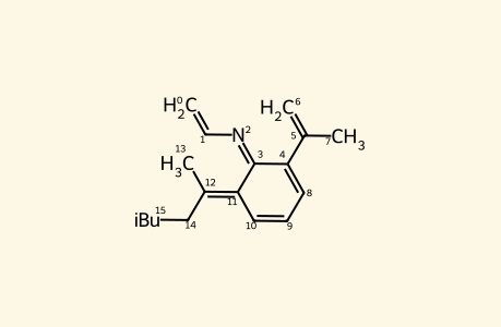 C=C/N=C1/C(C(=C)C)=CC=C/C1=C(/C)CC(C)CC